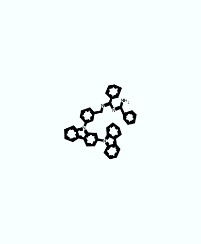 N/C(=N\C(=N/Cc1cccc(-n2c3ccccc3c3ccc(-n4c5ccccc5c5ccccc54)cc32)c1)c1ccccc1)c1ccccc1